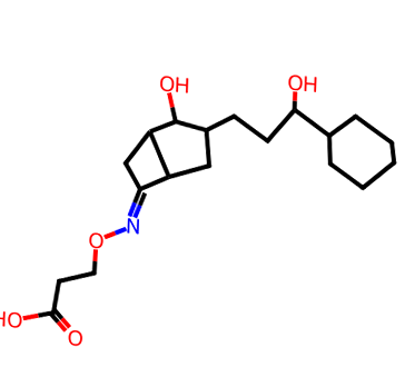 O=C(O)CCON=C1CC2C1CC(CCC(O)C1CCCCC1)C2O